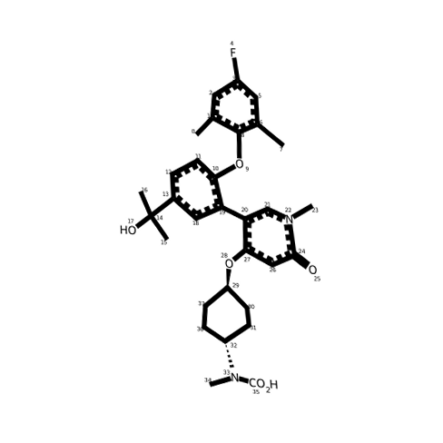 Cc1cc(F)cc(C)c1Oc1ccc(C(C)(C)O)cc1-c1cn(C)c(=O)cc1O[C@H]1CC[C@H](N(C)C(=O)O)CC1